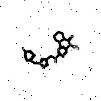 CN1C(=O)C2CCCCN2c2nc(NCc3cnn(Cc4ccc(F)cc4)c3)ncc21